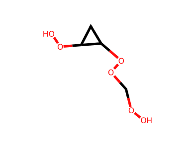 OOCOOC1CC1OO